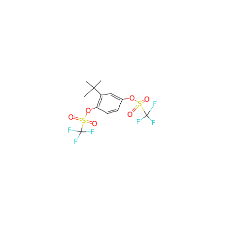 CC(C)(C)c1cc(OS(=O)(=O)C(F)(F)F)ccc1OS(=O)(=O)C(F)(F)F